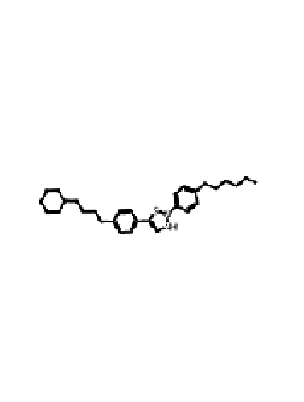 CCCCCCc1ccc(N2NC=C(c3ccc(CCCCC4CCCCC4)cc3)S2)cc1